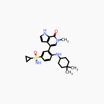 Cn1cc(-c2cc(S(=N)(=O)C3CC3)ccc2NC2CCC(C)(C)CC2)c2cc[nH]c2c1=O